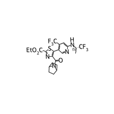 CCOC(=O)c1nc(C(=O)N2C3CCC2CC3)c(-c2cnc(N[C@@H](C)C(F)(F)F)cc2C(F)(F)F)s1